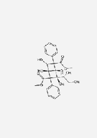 COC(=O)C1(c2ccccc2)C(O)[C@@]2(O)C(C(=O)OC)(c3ccccc3)[C@@](O)([C@H](O)CO)[C@@]12O